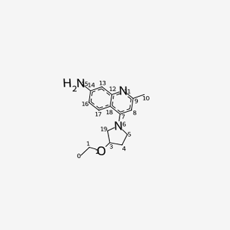 CCOC1CCN(c2cc(C)nc3cc(N)ccc23)C1